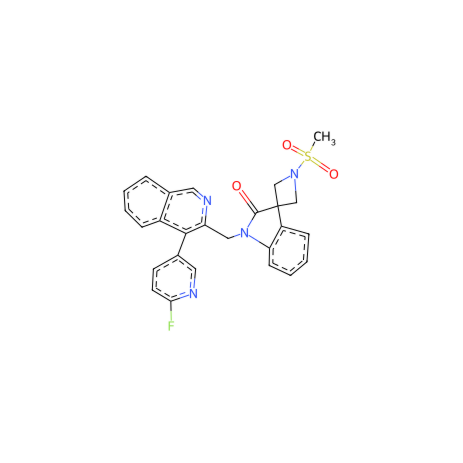 CS(=O)(=O)N1CC2(C1)C(=O)N(Cc1ncc3ccccc3c1-c1ccc(F)nc1)c1ccccc12